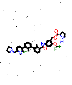 Cc1c(-c2nc3cc(COC(=O)[C@@H]4CCCN4)c(OC(F)F)cc3o2)cccc1-c1cccc(-c2ccc(CN3CCCC3)nc2F)c1C